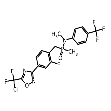 CN(c1ccc(C(F)(F)F)cc1)P(C)(=O)Cc1ccc(-c2noc(C(F)(F)Cl)n2)cc1F